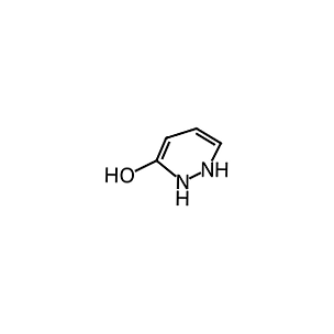 OC1=CC=CNN1